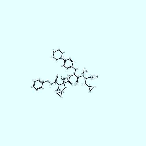 CNC(CC1CC1)(C(=O)OC(Cc1ccc(N2CCOCC2)cc1)C(=O)N(C)C(CC1CC1)C(=O)O)C(C)C(=O)OCc1ccccc1